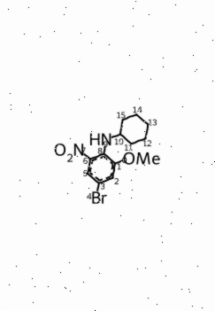 COc1cc(Br)cc([N+](=O)[O-])c1NC1CCCCC1